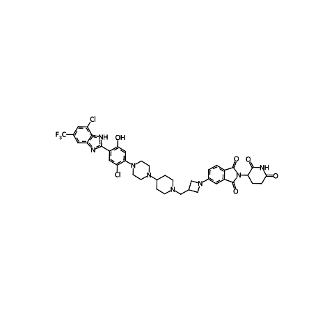 O=C1CCC(N2C(=O)c3ccc(N4CC(CN5CCC(N6CCN(c7cc(O)c(-c8nc9cc(C(F)(F)F)cc(Cl)c9[nH]8)cc7Cl)CC6)CC5)C4)cc3C2=O)C(=O)N1